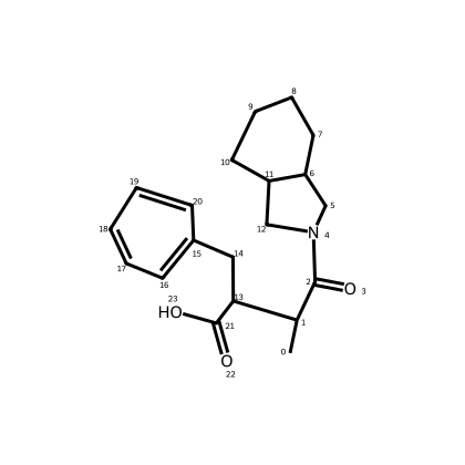 CC(C(=O)N1CC2CCCCC2C1)C(Cc1ccccc1)C(=O)O